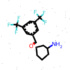 NC1CCCCC1.O=Cc1cc(C(F)(F)F)cc(C(F)(F)F)c1